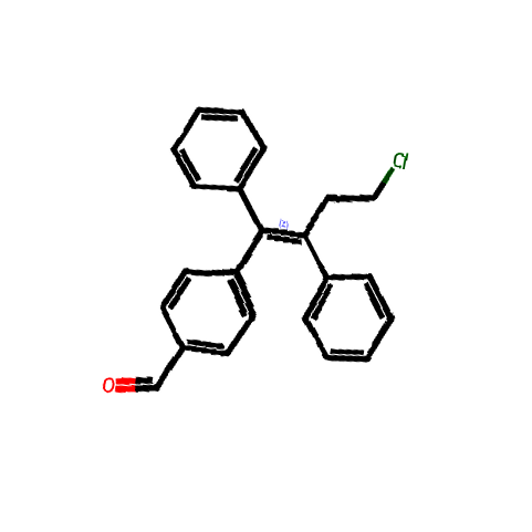 O=Cc1ccc(/C(=C(/CCCl)c2ccccc2)c2ccccc2)cc1